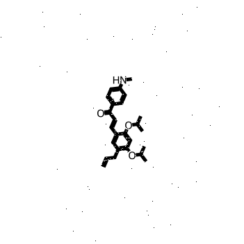 C=CCc1cc(C=CC(=O)c2ccc(NC)cc2)c(OC(C)C)cc1OC(C)C